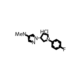 CNc1cnn([C@@H]2CCN(c3ccc(F)cc3)C2)c1.Cl